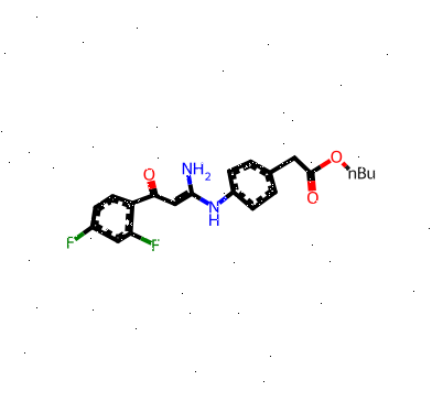 CCCCOC(=O)Cc1ccc(N/C(N)=C/C(=O)c2ccc(F)cc2F)cc1